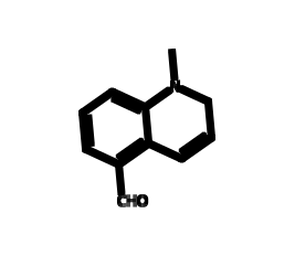 CN1CC=Cc2c(C=O)cccc21